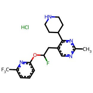 Cc1ncc(CC(F)Oc2cccc(C(F)(F)F)n2)c(C2CCNCC2)n1.Cl